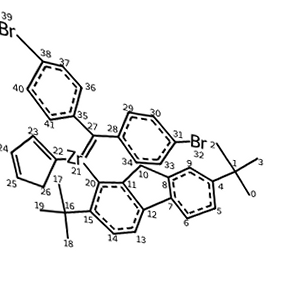 CC(C)(C)c1ccc2c(c1)Cc1c-2ccc(C(C)(C)C)[c]1[Zr]([C]1=CC=CC1)=[C](c1ccc(Br)cc1)c1ccc(Br)cc1